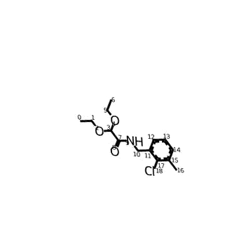 CCOC(OCC)C(=O)NCc1cccc(C)c1Cl